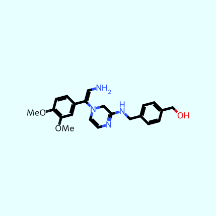 COc1ccc(/C(=C/N)N2C=CN=C(NCc3ccc(CO)cc3)C2)cc1OC